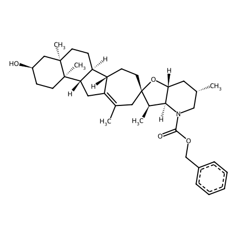 CC1=C2C[C@H]3[C@@H](CC[C@]4(C)C[C@H](O)CC[C@]34C)[C@@H]2CC[C@@]2(C1)O[C@@H]1C[C@H](C)CN(C(=O)OCc3ccccc3)[C@H]1[C@H]2C